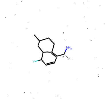 CC1CCC2=C([C@@H](C)N)C=CC(F)C2C1